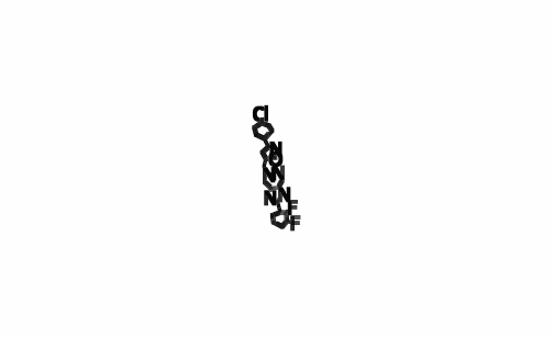 Fc1cccc(-c2nc3cnn(Cc4cc(-c5ccc(Cl)cc5)no4)cc-3n2)c1F